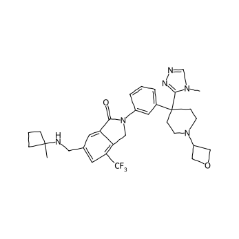 Cn1cnnc1C1(c2cccc(N3Cc4c(cc(CNC5(C)CCC5)cc4C(F)(F)F)C3=O)c2)CCN(C2COC2)CC1